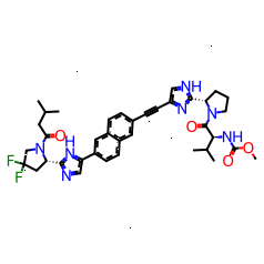 COC(=O)N[C@H](C(=O)N1CCC[C@H]1c1nc(C#Cc2ccc3cc(-c4cnc([C@@H]5CC(F)(F)CN5C(=O)CC(C)C)[nH]4)ccc3c2)c[nH]1)C(C)C